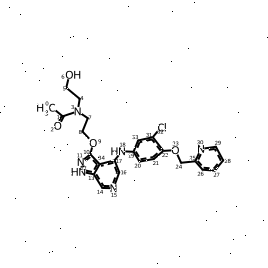 CC(=O)N(CCO)CCOc1n[nH]c2cncc(Nc3ccc(OCc4ccccn4)c(Cl)c3)c12